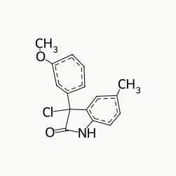 COc1cccc(C2(Cl)C(=O)Nc3ccc(C)cc32)c1